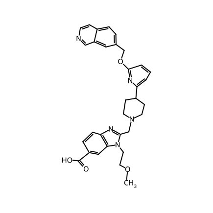 COCCn1c(CN2CCC(c3cccc(OCc4ccc5ccncc5c4)n3)CC2)nc2ccc(C(=O)O)cc21